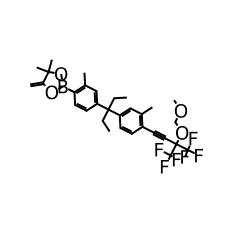 C=C1OB(c2ccc(C(CC)(CC)c3ccc(C#CC(OCOC)(C(F)(F)F)C(F)(F)F)c(C)c3)cc2C)OC1(C)C